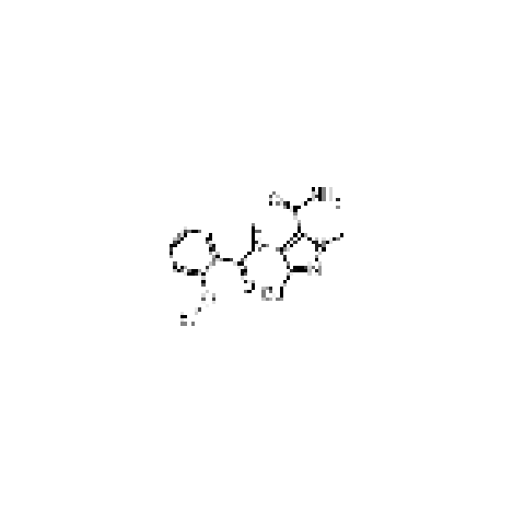 CCOc1ccccc1C(=O)Nc1c(C(C)CC)nn(C)c1C(N)=O